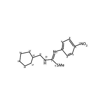 CS/C(=N\c1ccc([N+](=O)[O-])cc1)NCC1CCCCC1